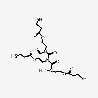 CN(CCOC(=O)CCS)C(=O)N(CCOC(=O)CCS)C(=O)N(C=O)CCOC(=O)CCS